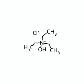 CC[N+](O)(CC)CC.[Cl-]